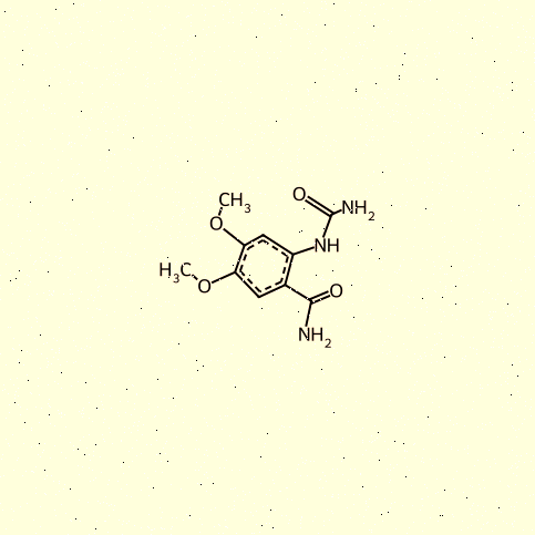 COc1cc(NC(N)=O)c(C(N)=O)cc1OC